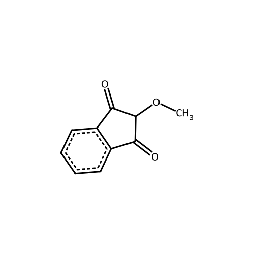 COC1C(=O)c2ccccc2C1=O